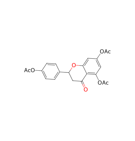 CC(=O)Oc1ccc(C2CC(=O)c3c(OC(C)=O)cc(OC(C)=O)cc3O2)cc1